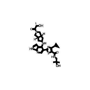 C[C@H](O)C(=O)N1C[C@H]2CC(Nc3c(-c4nc(C5CC5)c(C(=O)NCC(C)(C)O)s4)cnc4[nH]ccc34)C[C@H]2C1